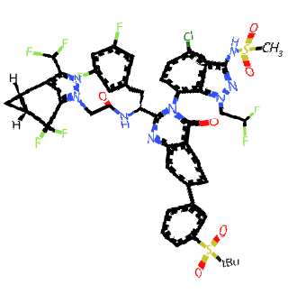 CC(C)(C)S(=O)(=O)c1cccc(-c2ccc3c(=O)n(-c4ccc(Cl)c5c(NS(C)(=O)=O)nn(CC(F)F)c45)c([C@H](Cc4cc(F)cc(F)c4)NC(=O)Cn4nc(C(F)F)c5c4C(F)(F)[C@@H]4C[C@H]54)nc3c2)c1